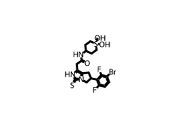 O=C(Cc1[nH]c(=S)n2c1CC(c1c(F)ccc(Br)c1F)C2)NC1CCS(O)(O)CC1